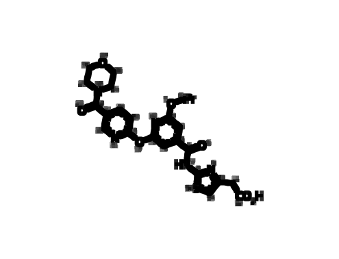 CC(C)Oc1cc(C(=O)Nc2nc(CC(=O)O)cs2)cc(Oc2ccc(C(=O)N3CCOCC3)cn2)n1